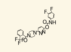 O=C(Nc1ccc(F)c(F)c1)Oc1ccc(N2CCN(C(=O)c3ccccc3C(F)(F)F)CC2)nn1